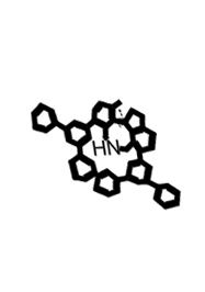 Cc1ccc(-c2cc(-c3ccccc3)cc(-c3ccccc3)c2)c2c1[C@@]1(C)CCc3ccc(-c4cc(-c5ccccc5)cc(-c5ccccc5)c4)c(c31)CNC2